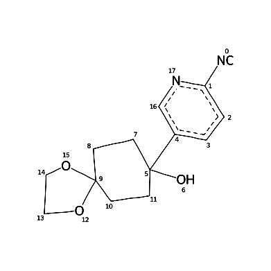 [C-]#[N+]c1ccc(C2(O)CCC3(CC2)OCCO3)cn1